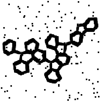 c1ccc(N2c3ccccc3-c3nc(-n4c5ccccc5c5ccc6c(c7ccccc7n6-c6ccc7c(c6)sc6ccccc67)c54)nc4cccc2c34)cc1